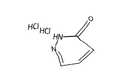 Cl.Cl.O=c1cccn[nH]1